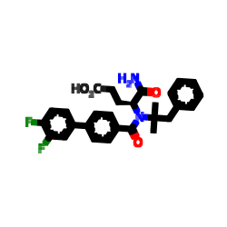 CC(C)(Cc1ccccc1)N(C(=O)c1ccc(-c2ccc(F)c(F)c2)cc1)[C@@H](CCC(=O)O)C(N)=O